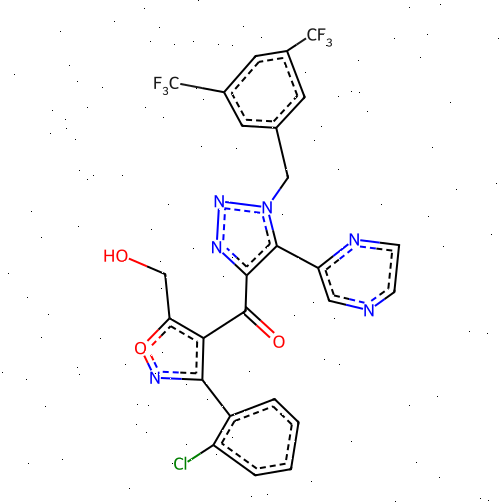 O=C(c1nnn(Cc2cc(C(F)(F)F)cc(C(F)(F)F)c2)c1-c1cnccn1)c1c(-c2ccccc2Cl)noc1CO